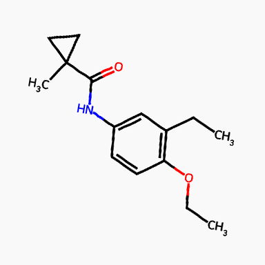 CCOc1ccc(NC(=O)C2(C)CC2)cc1CC